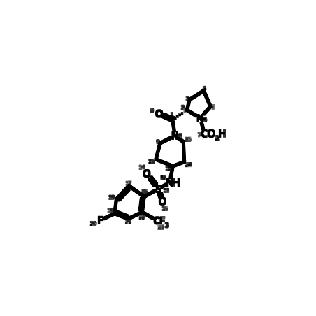 O=C([C@@H]1CCCN1C(=O)O)N1CCC(NS(=O)(=O)c2ccc(F)cc2C(F)(F)F)CC1